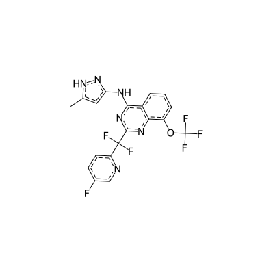 Cc1cc(Nc2nc(C(F)(F)c3ccc(F)cn3)nc3c(OC(F)(F)F)cccc23)n[nH]1